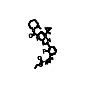 CCOC(=O)[C@H]1C[C@@H]1c1cccc(-c2cc3nc(C(=O)N4CCCCC[C@H]4C)cc(C4(C)CC4)n3n2)c1F